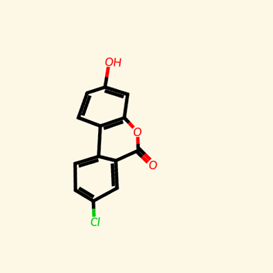 O=c1oc2cc(O)ccc2c2ccc(Cl)cc12